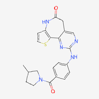 CC1CCN(C(=O)c2ccc(Nc3ncc4c(n3)-c3sccc3NC(=O)C4)cc2)C1